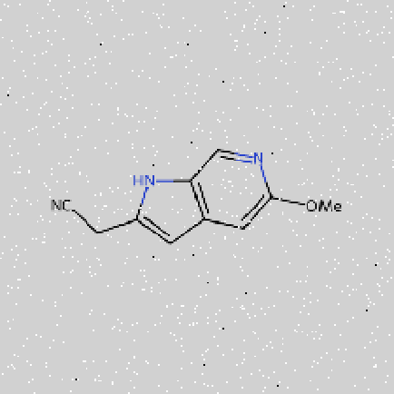 COc1cc2cc(CC#N)[nH]c2cn1